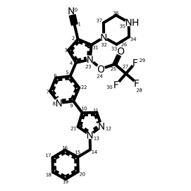 N#Cc1cc(-c2ccnc(-c3cnn(Cc4ccccc4)c3)c2)n(OC(=O)C(F)(F)F)c1N1CCNCC1